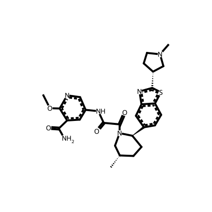 COc1ncc(NC(=O)C(=O)N2C[C@@H](C)CC[C@@H]2c2ccc3sc([C@@H]4CCN(C)C4)nc3c2)cc1C(N)=O